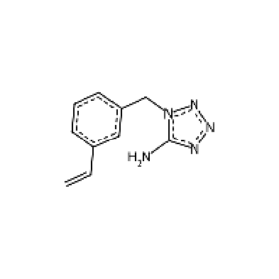 C=Cc1cccc(Cn2nnnc2N)c1